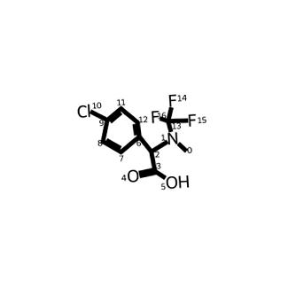 CN(C(C(=O)O)c1ccc(Cl)cc1)C(F)(F)F